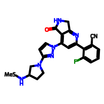 CSNC1CCN(c2ccn(-c3cc(-c4c(F)cccc4C#N)nc4c3C(=O)NC4)n2)C1